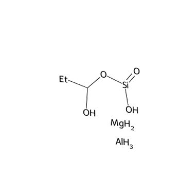 CCC(O)O[Si](=O)O.[AlH3].[MgH2]